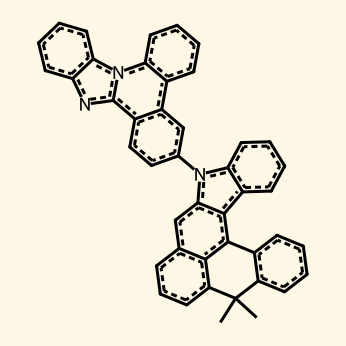 CC1(C)c2ccccc2-c2c3c1cccc3cc1c2c2ccccc2n1-c1ccc2c(c1)c1ccccc1n1c3ccccc3nc21